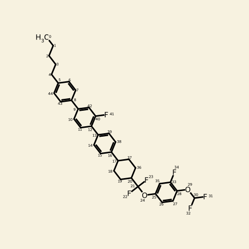 CCCCCc1ccc(-c2ccc(-c3ccc(C4CCC(C(F)(F)Oc5ccc(OC(F)F)c(F)c5)CC4)cc3)c(F)c2)cc1